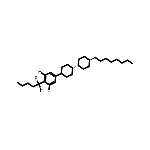 CCCCCCCC[C@H]1CC[C@H](C2CCC(c3cc(F)c(C(F)(F)CCCC)c(F)c3)CC2)CC1